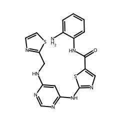 Nc1ccccc1NC(=O)c1cnc(Nc2cc(NCc3nccs3)ncn2)s1